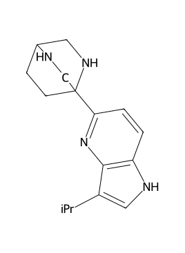 CC(C)c1c[nH]c2ccc(C34CCC(CN3)NC4)nc12